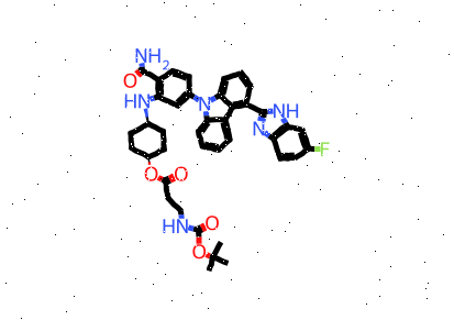 CC(C)(C)OC(=O)NCCC(=O)O[C@H]1CC[C@H](Nc2cc(-n3c4ccccc4c4c(-c5nc6ccc(F)cc6[nH]5)cccc43)ccc2C(N)=O)CC1